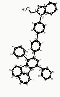 CCc1nc2ccccc2n1-c1ccc(-c2ccc(-c3cc(-c4ccccc4)c4c(c3-c3ccccc3)-c3cccc5cccc-4c35)cc2)cc1